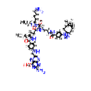 C[C@H]1[C@H]2CCc3c(nnn3-c3ccc(C(=O)NCCCC[C@H](NC(=O)CC[C@H](NC(=O)c4ccc(NCc5cnc6nc(N)nc(O)c6n5)cc4)C(=O)O)C(=O)N[C@H](CCCCN)C(=O)O)cc3)CC[C@@H]12